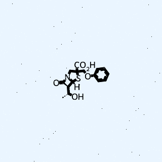 C[C@@H](O)[C@H]1C(=O)N2CC(COc3ccccc3)(C(=O)O)S[C@H]12